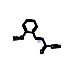 COc1ccccc1/C=C/C(=O)OCC(C)C